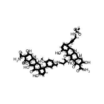 COc1ccc(CNCC(C)OC2=C3C(=O)c4c(O)ccc(C#CCNS(C)(=O)=O)c4C[C@H]3C[C@H]3CC(O)=C(C(N)=O)C(=O)[C@@]23O)cc1-c1ccc(O)c2c1C[C@H]1C[C@H]3CC(O)=C(C(N)=O)C(=O)[C@@]3(O)C(O)=C1C2=O